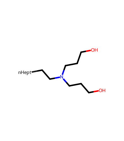 CCCCCCCCCN(CCCO)CCCO